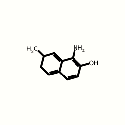 CC1C=c2c(N)c(O)ccc2=CC1